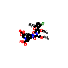 COCC[C@H](C(=O)Nc1ccc2c(c1)cc(C(=O)O)n2Cc1oc(=O)oc1C)n1cc(OC)c(-c2cc(Cl)ccc2C(C)=O)cc1=O